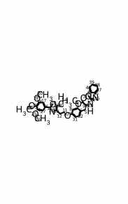 COC(=O)[C@H](Cc1ccc(OCCc2nc(-c3cc(OC)c(OC)c(OC)c3)oc2C)cc1)Nc1nc2ccccc2o1